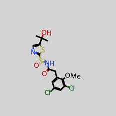 COc1c(Cl)cc(Cl)cc1CC(=O)N[S+]([O-])c1ncc(C(C)(C)O)s1